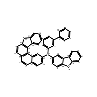 c1ccc(-c2cccc(N(c3ccc4oc5ccccc5c4c3)c3ccc4ccc5ccc6sc7ccccc7c6c5c4c3)c2)cc1